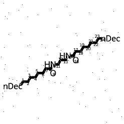 CCCCCCCCCCCCCCCCCC(=O)NCCCNC(=O)CCCCCCCCCCCCCCCCC